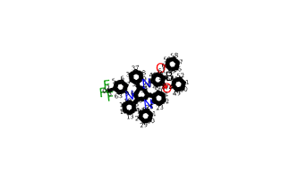 FC(F)(F)c1cccc(-n2c3ccccc3c3c4c(c5ccccc5n4-c4ccccc4)c4c(c5ccccc5n4-c4cc5c6c(c4)Oc4ccccc4B6c4ccccc4O5)c32)c1